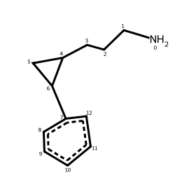 NCCCC1CC1c1ccccc1